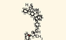 C=CC(=O)Nc1cc(-c2nn(C3CCN(CCNC(=O)[C@@H](C)CCC45CC6CC(CC(C6)C4)C5)CC3)c3ncnc(N)c23)ccc1Oc1ccccc1